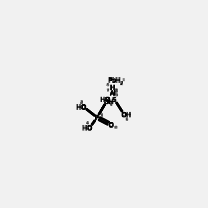 O=P(O)(O)O.O=S(=O)(O)O.[AlH3].[PbH2]